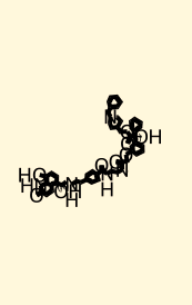 CN(CCNC(=O)c1ccc(CCNC[C@H](O)c2ccc(O)c3[nH]c(=O)ccc23)cc1)C(=O)COc1cccc([C@](O)(C(=O)OCC2CCN(Cc3ccccc3)CC2)c2ccccc2)c1